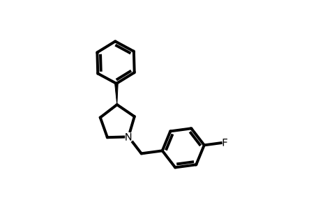 Fc1ccc(CN2CC[C@@H](c3ccccc3)C2)cc1